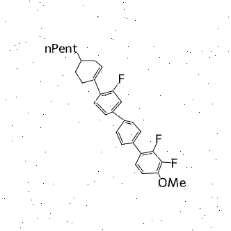 CCCCCC1CC=C(c2ccc(-c3ccc(-c4ccc(OC)c(F)c4F)cc3)cc2F)CC1